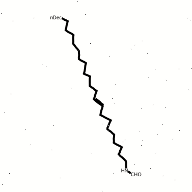 CCCCCCCCCCCCCCCCCCCCCC=CCCCCCCCCNC=O